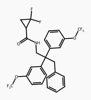 O=C(NCC(Cc1ccccc1)(c1cccc(OC(F)(F)F)c1)c1cccc(OC(F)(F)F)c1)C1CC1(F)F